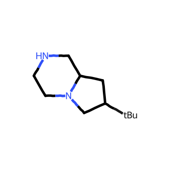 CC(C)(C)C1CC2CNCCN2C1